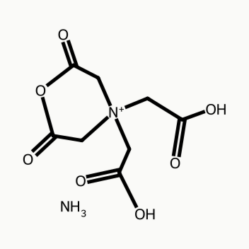 N.O=C(O)C[N+]1(CC(=O)O)CC(=O)OC(=O)C1